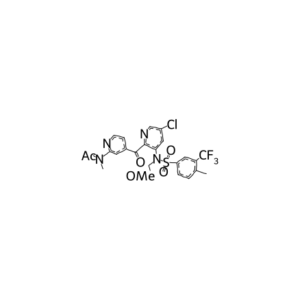 COCN(c1cc(Cl)cnc1C(=O)c1ccnc(N(C)C(C)=O)c1)S(=O)(=O)c1ccc(C)c(C(F)(F)F)c1